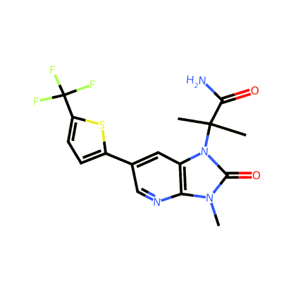 Cn1c(=O)n(C(C)(C)C(N)=O)c2cc(-c3ccc(C(F)(F)F)s3)cnc21